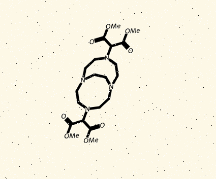 COC(=O)C(C(=O)OC)N1CCN2CCN(CC1)CCN(C(C(=O)OC)C(=O)OC)CC2